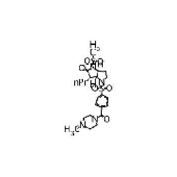 CCC[C@H]1C(=O)N(S(C)(=O)=O)[C@H]2CCN(S(=O)(=O)c3ccc(C(=O)N4CCN(C)CC4)cc3)[C@H]12